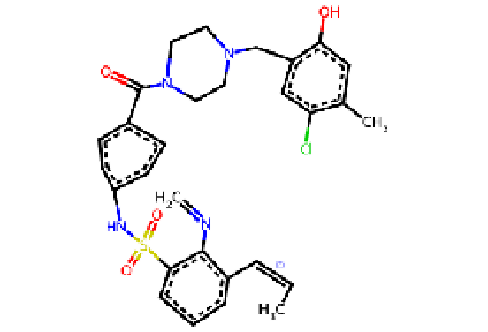 C=Nc1c(/C=C\C)cccc1S(=O)(=O)Nc1ccc(C(=O)N2CCN(Cc3cc(Cl)c(C)cc3O)CC2)cc1